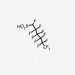 O=S(=O)(O)C(F)C(F)(F)C(F)(F)C(F)(F)C(F)(F)C(F)(F)F